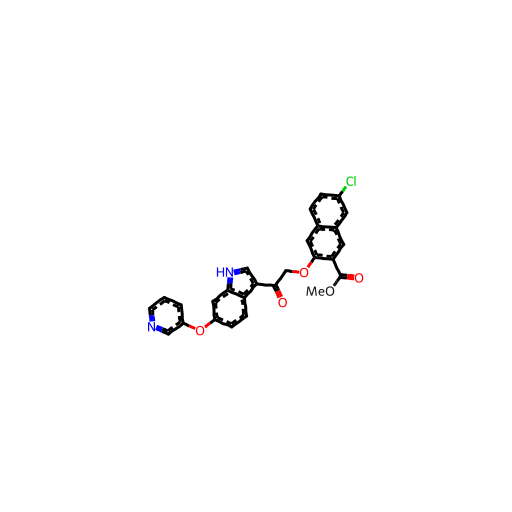 COC(=O)c1cc2cc(Cl)ccc2cc1OCC(=O)c1c[nH]c2cc(Oc3cccnc3)ccc12